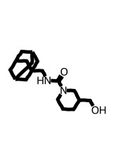 O=C(NCC12CC3CC(CC(C3)C1)C2)N1CCCC(CO)C1